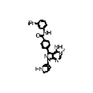 CC(C)c1cccc(NC(=O)c2ccc(-c3nn(C4CC5CNC4C5)c4ncnc(N)c34)cc2)c1